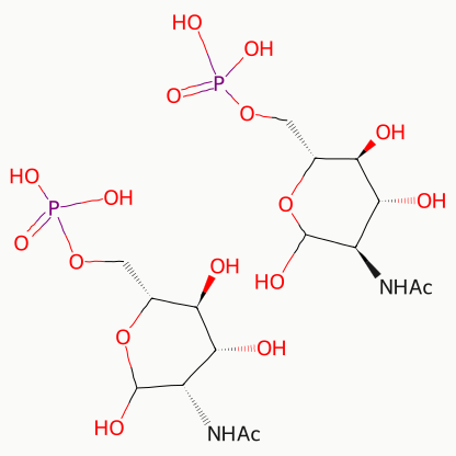 CC(=O)N[C@@H]1C(O)O[C@H](COP(=O)(O)O)[C@@H](O)[C@@H]1O.CC(=O)N[C@H]1C(O)O[C@H](COP(=O)(O)O)[C@@H](O)[C@@H]1O